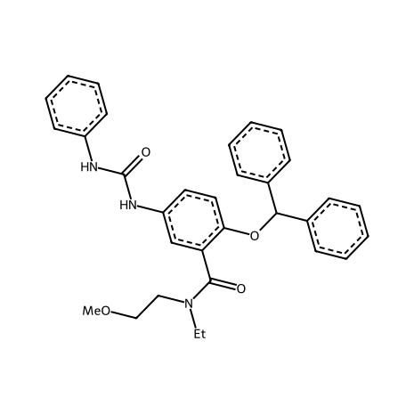 CCN(CCOC)C(=O)c1cc(NC(=O)Nc2ccccc2)ccc1OC(c1ccccc1)c1ccccc1